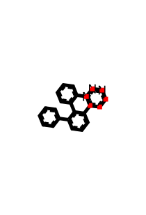 c1ccc(-c2ccccc2-c2c(-c3ccccc3)cccc2-c2ccnnn2)cc1